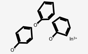 [In+3].[O-]c1ccccc1.[O-]c1ccccc1.[O-]c1ccccc1